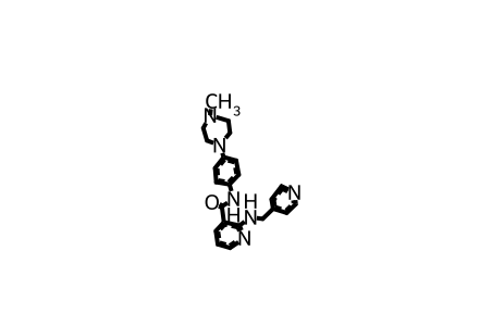 CN1CCN(c2ccc(NC(=O)c3cccnc3NCc3ccncc3)cc2)CC1